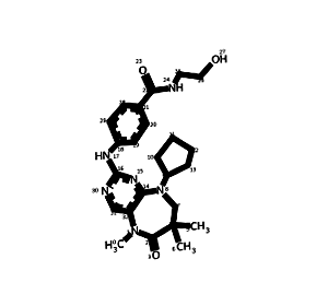 CN1C(=O)C(C)(C)CN(C2CCCC2)c2nc(Nc3ccc(C(=O)NCCO)cc3)ncc21